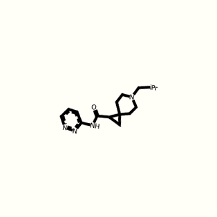 CC(C)CN1CCC2(CC1)CC2C(=O)Nc1cccnn1